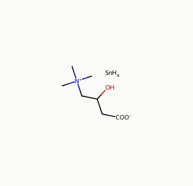 C[N+](C)(C)CC(O)CC(=O)[O-].[SnH4]